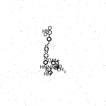 COc1cc(Nc2nc(Nc3cccc4c3N(S(C)(=O)=O)CC4)c3cc[nH]c3n2)ccc1N1CCC(N2CCN(CCc3ccc(C4CCC(=O)NC4=O)cc3)CC2)CC1